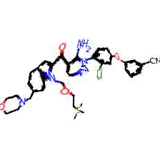 CS(C)(C)CCOCn1c(C(=O)c2cnn(-c3ccc(Oc4cccc(C#N)c4)cc3Cl)c2N)cc2ccc(CN3CCOCC3)cc21